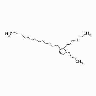 CCCCCCCCCCCCCCN1C=CN(CCCC)C1CCCCCCC